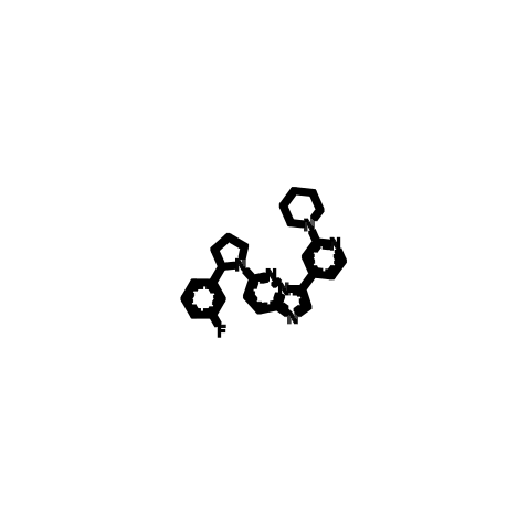 Fc1cccc(C2CCCN2c2ccc3ncc(-c4ccnc(N5CCCCC5)c4)n3n2)c1